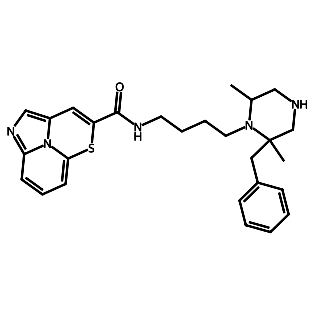 CC1CNCC(C)(Cc2ccccc2)N1CCCCNC(=O)C1=Cc2cnc3cccc(n23)S1